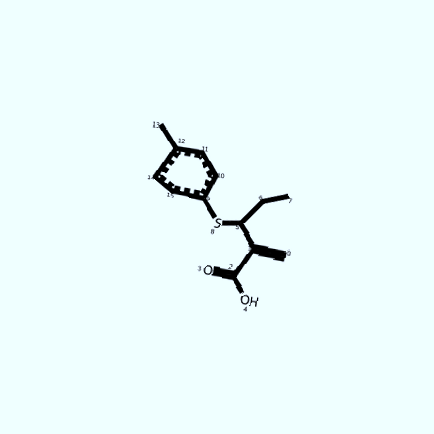 C=C(C(=O)O)C(CC)Sc1ccc(C)cc1